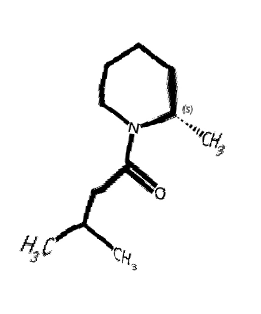 CC(C)CC(=O)N1CCCC[C@@H]1C